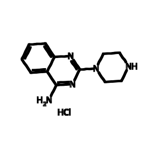 Cl.Nc1nc(N2CCNCC2)nc2ccccc12